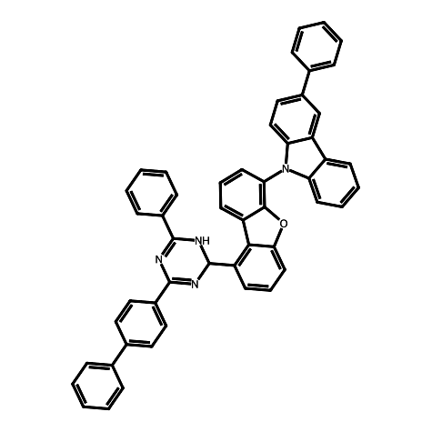 c1ccc(C2=NC(c3ccc(-c4ccccc4)cc3)=NC(c3cccc4oc5c(-n6c7ccccc7c7cc(-c8ccccc8)ccc76)cccc5c34)N2)cc1